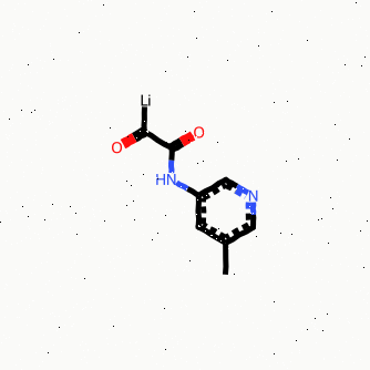 [Li][C](=O)C(=O)Nc1cncc(C)c1